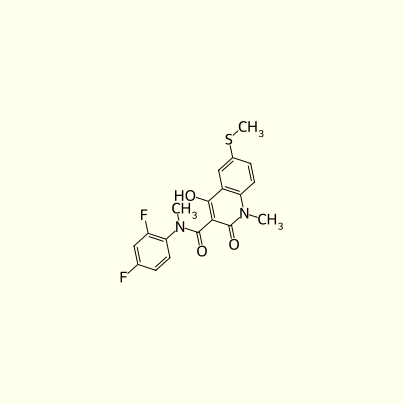 CSc1ccc2c(c1)c(O)c(C(=O)N(C)c1ccc(F)cc1F)c(=O)n2C